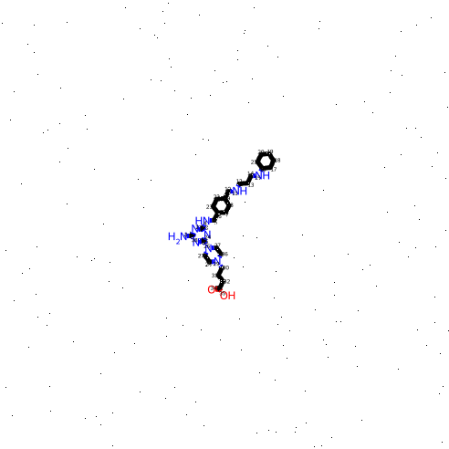 Nc1nc(NCC2CCC(CNCCCNC3CCCCC3)CC2)nc(N2CCN(CCCC(=O)O)CC2)n1